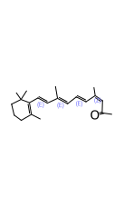 CC(=O)\C=C(C)/C=C/C=C(C)/C=C/C1=C(C)CCCC1(C)C